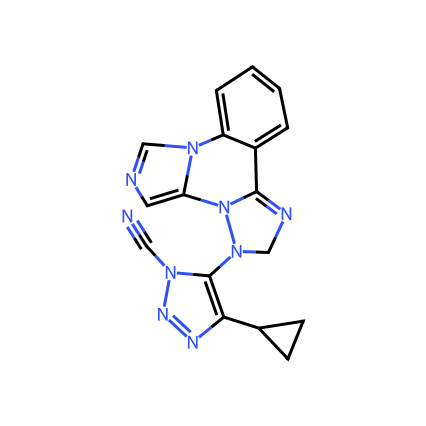 N#Cn1nnc(C2CC2)c1N1CN=C2c3ccccc3-n3cncc3N21